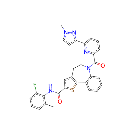 Cc1cccc(F)c1NC(=O)c1cc2c(s1)-c1ccccc1N(C(=O)c1cccc(-c3ccn(C)n3)n1)CC2